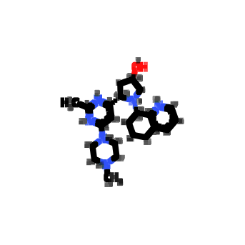 Cc1nc([C@@H]2C[C@@H](O)CN2[C@H]2CCCc3cccnc32)cc(N2CCN(C)CC2)n1